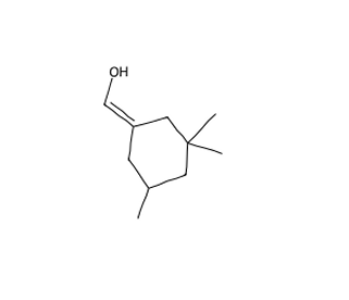 CC1CC(=CO)CC(C)(C)C1